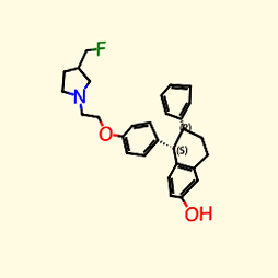 Oc1ccc2c(c1)CC[C@@H](c1ccccc1)[C@H]2c1ccc(OCCN2CCC(CF)C2)cc1